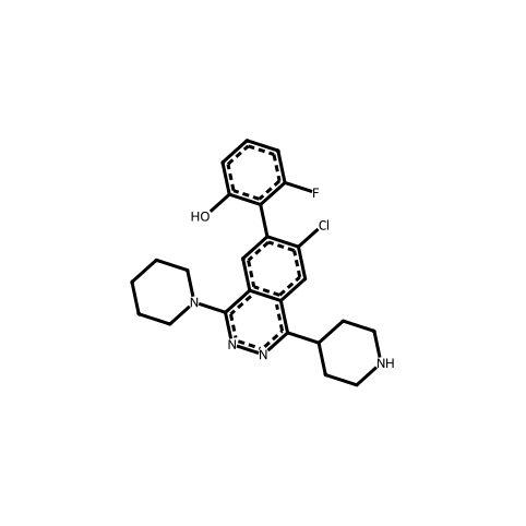 Oc1cccc(F)c1-c1cc2c(N3CCCCC3)nnc(C3CCNCC3)c2cc1Cl